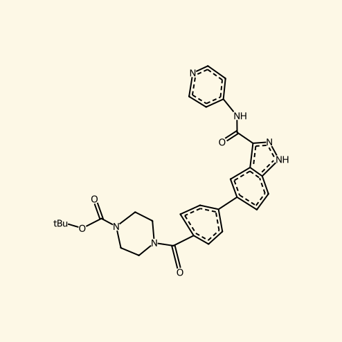 CC(C)(C)OC(=O)N1CCN(C(=O)c2ccc(-c3ccc4[nH]nc(C(=O)Nc5ccncc5)c4c3)cc2)CC1